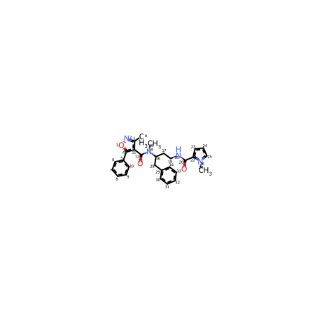 Cc1noc(-c2ccccc2)c1C(=O)N(C)C(CCNC(=O)c1cccn1C)Cc1ccccc1